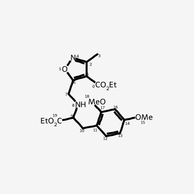 CCOC(=O)c1c(C)noc1CNC(Cc1ccc(OC)cc1OC)C(=O)OCC